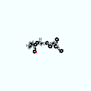 Cn1c(=O)n(-c2ccc(OCc3ccccc3)nc2OCc2ccccc2)c2cccc(N3CCC[C@@H](OCC(=O)Nc4ccc5c(F)c(N6CC(=O)NS6(=O)=O)c(OCc6ccccc6)cc5c4)C3)c21